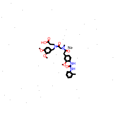 COc1cc(CC(=O)N(C)CC(=O)N(CCC(=O)O)Cc2ccc(OC)c(OC)c2)ccc1NC(=O)Nc1ccccc1C.[Na]